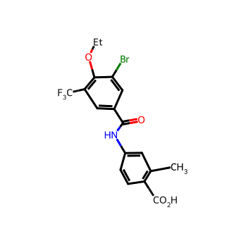 CCOc1c(Br)cc(C(=O)Nc2ccc(C(=O)O)c(C)c2)cc1C(F)(F)F